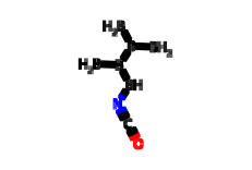 BB(B)B(B)BN=C=O